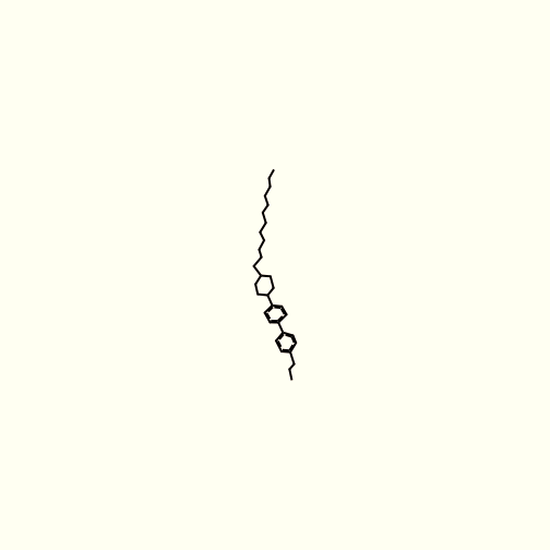 CCCCCCCCCCCCC1CCC(c2ccc(-c3ccc(CCC)cc3)cc2)CC1